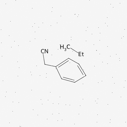 CCC.N#CCc1ccccc1